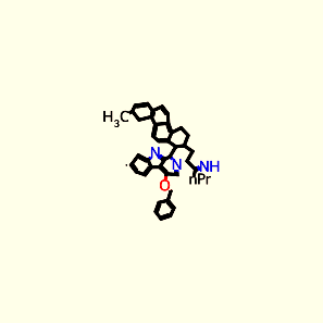 CCCC(=N)CCC1CCc2c(ccc3c4c(ccc23)C=CC(C)C4)C1C1N=CC(OCc2ccccc2)=C2C1=Nc1c[c]ccc12